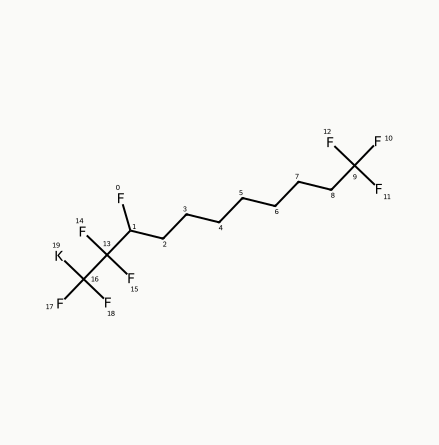 FC(CCCCCCCC(F)(F)F)C(F)(F)[C](F)(F)[K]